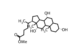 COC(=O)CCCC(C)[C@H]1CCC2C3C(C[C@H](O)C21C)C1(C)CC[C@@H](O)CC1C[C@H]3O